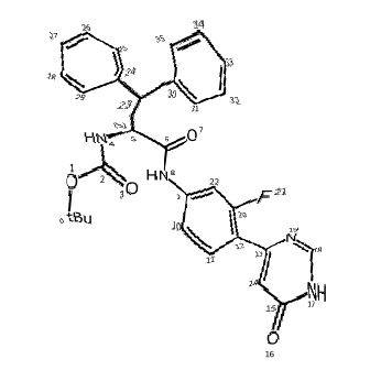 CC(C)(C)OC(=O)N[C@H](C(=O)Nc1ccc(-c2cc(=O)[nH]cn2)c(F)c1)C(c1ccccc1)c1ccccc1